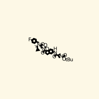 C[C@@H](C1CC1)N(Cc1ccc(F)cc1)C(=O)CN1C(=O)OC2(CCc3cc(NC(=O)C4CN(C(=O)OC(C)(C)C)C4)ccc32)C1=O